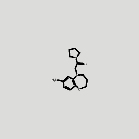 Nc1ccc2c(c1)N(CC(=O)N1CCCC1)CCCO2